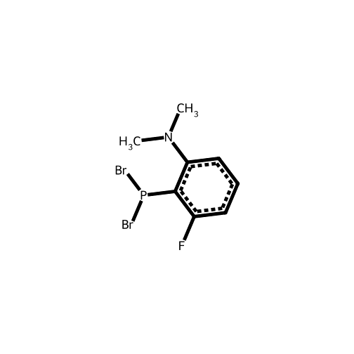 CN(C)c1cccc(F)c1P(Br)Br